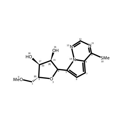 COC[C@H]1OC(c2ccc3c(SC)ncnn23)[C@H](O)[C@@H]1O